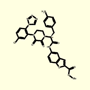 CC(C)(C)OC(=O)c1cc2cc(NC(=O)[C@H](Cc3ccc(N)cc3)N3CCN(c4cc(Cl)ccc4-n4cnnn4)C(=O)C3=O)ccc2o1